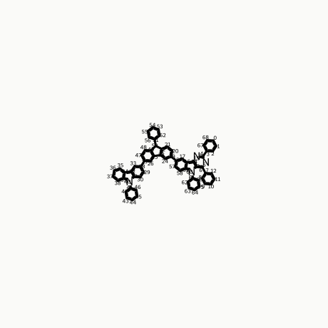 c1ccc(-c2nc(-c3ccccc3)c3c(n2)c2cc(-c4ccc5c(c4)-c4cc(-c6ccc7c(c6)c6ccccc6n7-c6ccccc6)ccc4C5c4ccccc4)ccc2n3-c2ccccc2)cc1